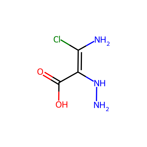 NN/C(C(=O)O)=C(\N)Cl